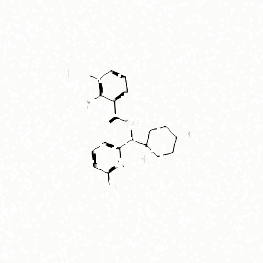 O=C(NC(c1cccc(Cl)n1)[C@]1(O)CC[C@H](F)CC1)c1cccc(C(F)(F)F)c1Cl